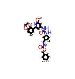 COc1cc(NC(=O)N[C@@H]2CCC(/C=N/C(=O)OCc3ccccc3)C2)cc(-c2cccc3c2OCCO3)n1